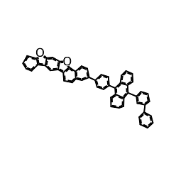 c1ccc(-c2cccc(-c3c4ccccc4c(-c4ccc(-c5ccc6c(ccc7c8cc9c(cc8oc67)oc6ccccc69)c5)cc4)c4ccccc34)c2)cc1